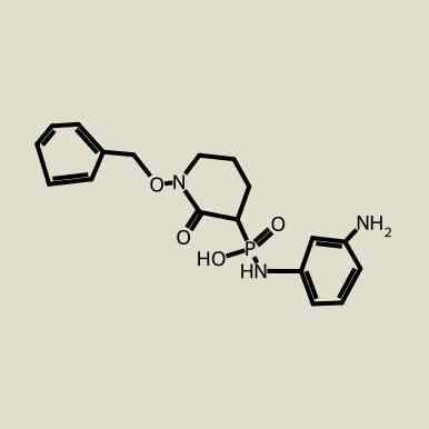 Nc1cccc(NP(=O)(O)C2CCCN(OCc3ccccc3)C2=O)c1